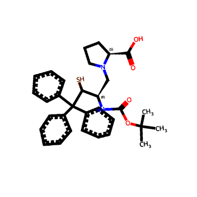 CC(C)(C)OC(=O)N[C@H](CN1CCC[C@H]1C(=O)O)C(S)C(c1ccccc1)(c1ccccc1)c1ccccc1